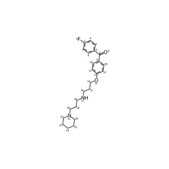 O=C(c1ccc(F)cc1)c1ccc(OCCCNCCCN2CCCCC2)cc1